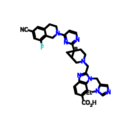 CCn1cncc1Cn1c(CN2CC[C@@]3(c4nccc(N5CCc6cc(C#N)cc(F)c6C5)n4)CC3C2)nc2ccc(C(=O)O)cc21